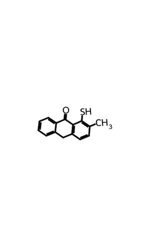 Cc1ccc2c(c1S)C(=O)c1ccccc1C2